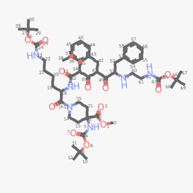 COC(=O)C1(NC(=O)OC(C)(C)C)CCN(C(=O)C(CCCCNC(=O)OC(C)(C)C)NC(=O)C(CC(C)C)C(=O)C(Cc2ccccc2)C(=O)C(Cc2ccccc2)NCCNC(=O)OC(C)(C)C)CC1